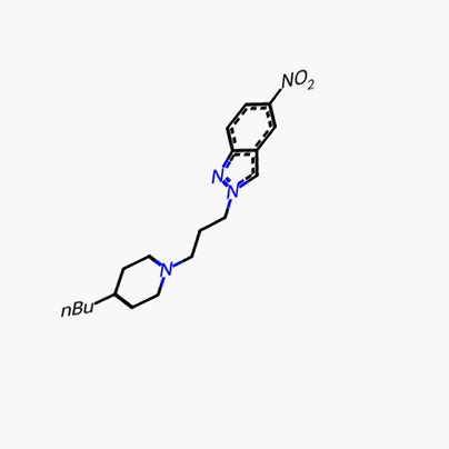 CCCCC1CCN(CCCn2cc3cc([N+](=O)[O-])ccc3n2)CC1